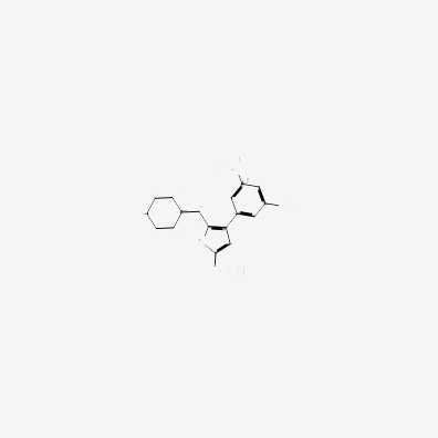 CC(C)(C)c1cc(-c2cc(C(=O)O)[nH]c2CC2CCCCC2)cc(C(C)(C)C)c1